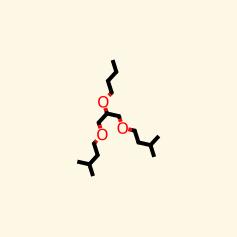 CCCCOC(COCCC(C)C)COCCC(C)C